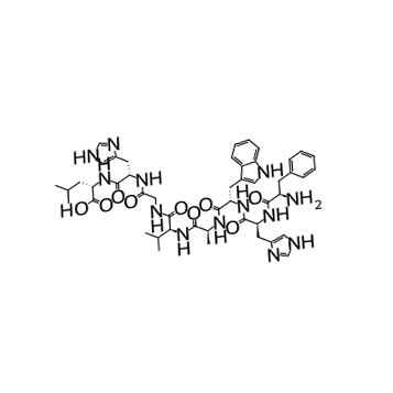 CC(C)C[C@H](NC(=O)[C@H](Cc1c[nH]cn1)NC(=O)CNC(=O)[C@@H](NC(=O)[C@H](C)NC(=O)[C@H](Cc1c[nH]c2ccccc12)NC(=O)[C@H](Cc1c[nH]cn1)NC(=O)[C@H](N)Cc1ccccc1)C(C)C)C(=O)O